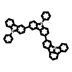 c1ccc(-n2c3ccccc3c3cc(-c4ccc5c(c4)c4cc(-c6ccc7c8cccc9c%10ccccc%10n(c7c6)c98)ccc4n5-c4ccccc4)ccc32)cc1